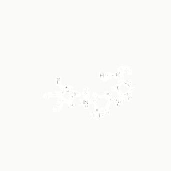 CN(C)c1ccnc(N[C@H]2CC[C@@H](NC(=O)c3cc(F)c(F)c(F)c3)CC2)c1.Cl